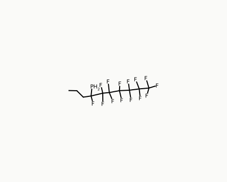 CCCC(F)(P)C(F)(F)C(F)(F)C(F)(F)C(F)(F)C(F)(F)C(F)(F)F